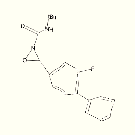 CC(C)(C)NC(=O)N1OC1c1ccc(-c2ccccc2)c(F)c1